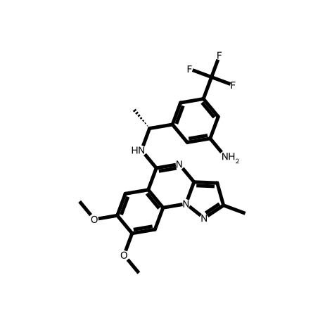 COc1cc2c(N[C@H](C)c3cc(N)cc(C(F)(F)F)c3)nc3cc(C)nn3c2cc1OC